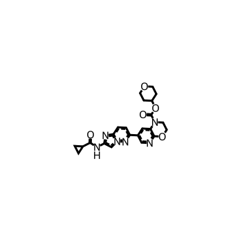 O=C(Nc1cn2nc(-c3cnc4c(c3)N(C(=O)OC3CCOCC3)CCO4)ccc2n1)C1CC1